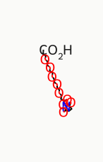 O=C(O)CCOCCOCCOCCOCCOCCC(=O)ON1C(=O)CCC1=O